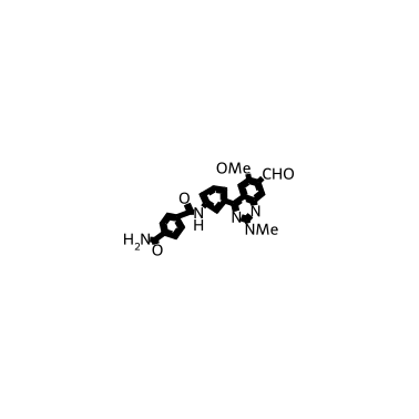 CNc1nc(-c2cccc(NC(=O)c3ccc(C(N)=O)cc3)c2)c2cc(OC)c(C=O)cc2n1